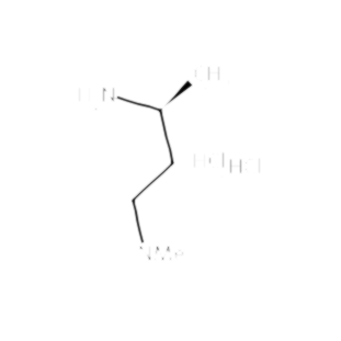 CNCC[C@H](C)N.Cl.Cl